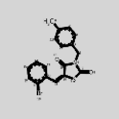 Cc1ccc(CN2C(=O)SC(=Cc3ccccc3Br)C2=O)cc1